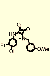 CCc1cc(Nc2c(NCc3cccc(OC)c3)c(=O)c2=O)ccc1O